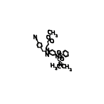 CCOC(=O)CCCn1c(Cc2ccc(C#N)cc2)nc2cc(N(CCN(C)C)S(=O)(=O)c3ccccc3)ccc21